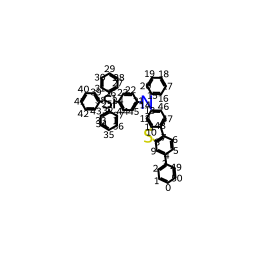 c1ccc(-c2ccc3c(c2)sc2cc(N(c4ccccc4)c4ccc([Si](c5ccccc5)(c5ccccc5)c5ccccc5)cc4)ccc23)cc1